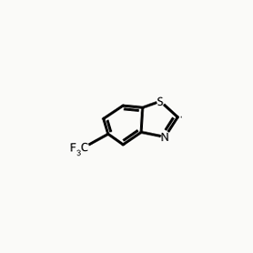 FC(F)(F)c1ccc2s[c]nc2c1